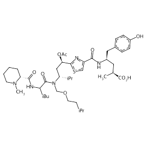 CCC(C)C(NC(=O)[C@H]1CCCCN1C)C(=O)N(COCCC(C)C)[C@H](C[C@@H](OC(C)=O)c1nc(C(=O)N[C@@H](Cc2ccc(O)cc2)C[C@H](C)C(=O)O)cs1)C(C)C